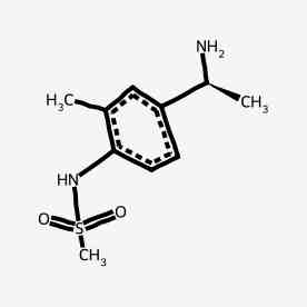 Cc1cc([C@H](C)N)ccc1NS(C)(=O)=O